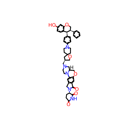 O=C1CC[C@@H](N2Cc3cc4c(cc3C2=O)OC[C@@H]2CN(C[C@@H]3COC5(CCN(c6ccc([C@H]7c8ccc(O)cc8OC[C@H]7c7ccccc7)cc6)CC5)C3)CCN42)C(=O)N1